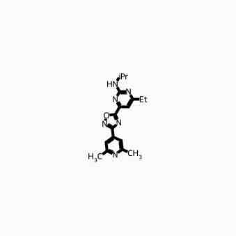 CCc1cc(-c2nc(-c3cc(C)nc(C)c3)no2)nc(NC(C)C)n1